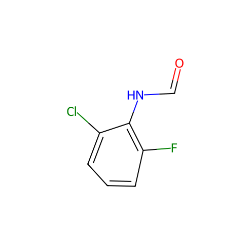 O=CNc1c(F)cccc1Cl